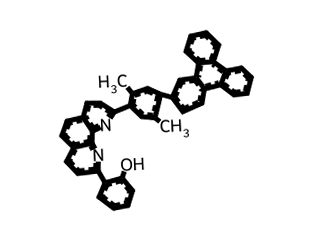 Cc1cc(-c2ccc3ccc4ccc(-c5ccccc5O)nc4c3n2)c(C)cc1-c1ccc2c3ccccc3c3ccccc3c2c1